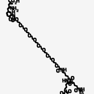 CCNC(=O)CCCNC(=O)[C@H](CCCCNC(=O)COCCOCCOCCOCCOCCOCCOCCOCCOCCOC(=O)Nc1cc(C[C@H](N)C[C@H](C)C(=O)O)ccc1O)NC(=O)CCCN1C(=O)C=CC1=O